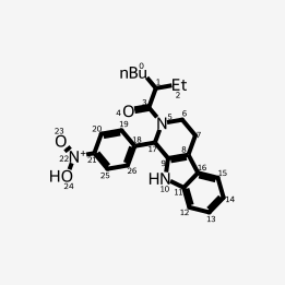 CCCCC(CC)C(=O)N1CCc2c([nH]c3ccccc23)C1c1ccc([N+](=O)O)cc1